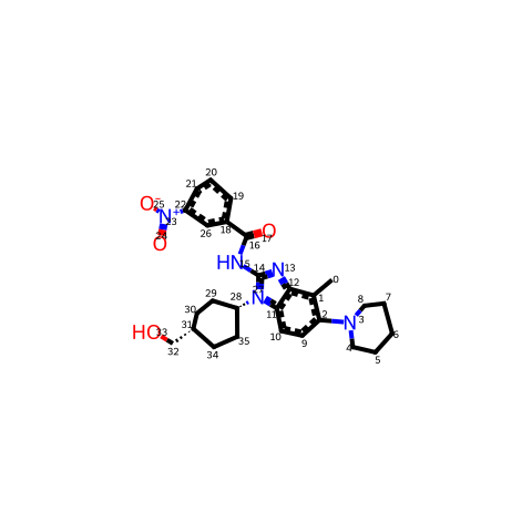 Cc1c(N2CCCCC2)ccc2c1nc(NC(=O)c1cccc([N+](=O)[O-])c1)n2[C@H]1CC[C@@H](CO)CC1